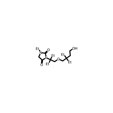 CCN1CC(=O)N(C(CC)(CC)COCC(CC)(CC)CCO)C1=O